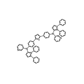 c1ccc(-c2ccc(N(c3ccc(-c4ccc(-c5ccc(N(c6cccnc6)c6ccc(-c7ccccc7)n6-c6ccccc6)cc5)s4)cc3)c3cccnc3)n2-c2ccccc2)cc1